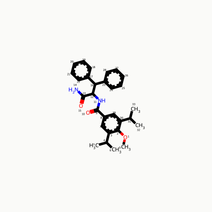 COc1c(C(C)C)cc(C(=O)NC(C(N)=O)C(c2ccccc2)c2ccccc2)cc1C(C)C